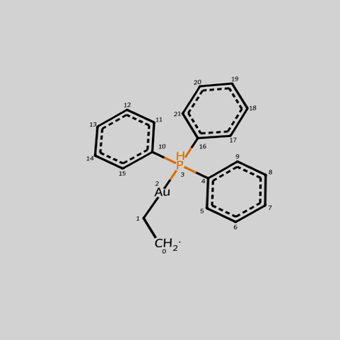 [CH2][CH2][Au][PH](c1ccccc1)(c1ccccc1)c1ccccc1